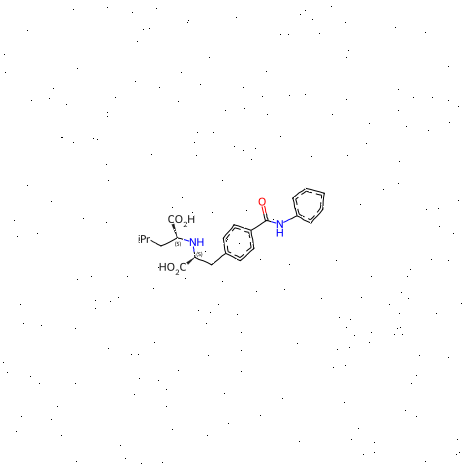 CC(C)C[C@H](N[C@@H](Cc1ccc(C(=O)Nc2ccccc2)cc1)C(=O)O)C(=O)O